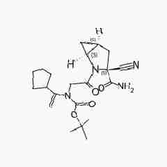 C=C(C1CCCC1)N(CC(=O)N1[C@H]2C[C@H]2C[C@]1(C#N)C(N)=O)C(=O)OC(C)(C)C